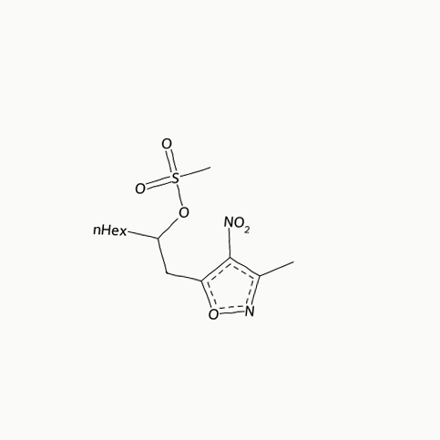 CCCCCCC(Cc1onc(C)c1[N+](=O)[O-])OS(C)(=O)=O